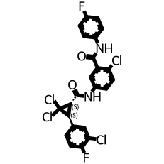 O=C(Nc1ccc(F)cc1)c1cc(NC(=O)[C@@H]2[C@@H](c3ccc(F)c(Cl)c3)C2(Cl)Cl)ccc1Cl